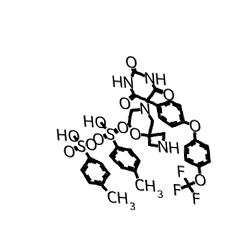 Cc1ccc(S(=O)(=O)O)cc1.Cc1ccc(S(=O)(=O)O)cc1.O=C1NC(=O)C(c2ccc(Oc3ccc(OC(F)(F)F)cc3)cc2)(N2CCOC3(CNC3)C2)C(=O)N1